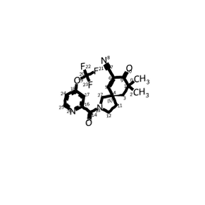 CC1(C)C[C@@]2(C=C(C#N)C1=O)CCN(C(=O)c1cc(OC(F)(F)F)ccn1)C2